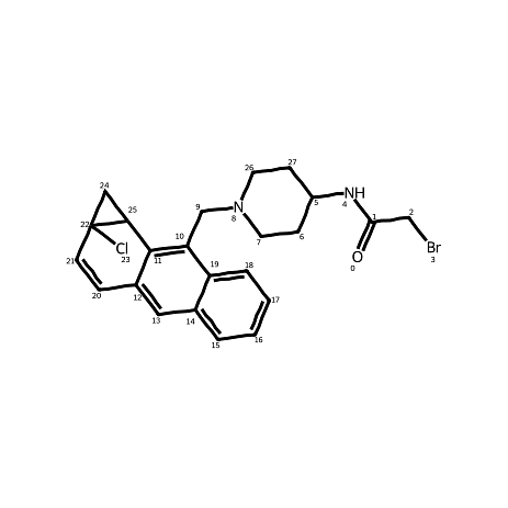 O=C(CBr)NC1CCN(Cc2c3c(cc4ccccc24)C=CC2(Cl)CC32)CC1